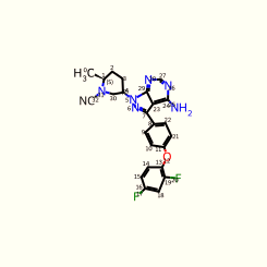 C[C@H]1CC[C@@H](n2nc(-c3ccc(Oc4ccc(F)cc4F)cc3)c3c(N)ncnc32)CN1C#N